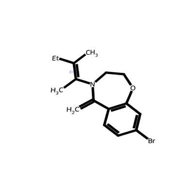 C=C1c2ccc(Br)cc2OCCN1/C(C)=C(\C)CC